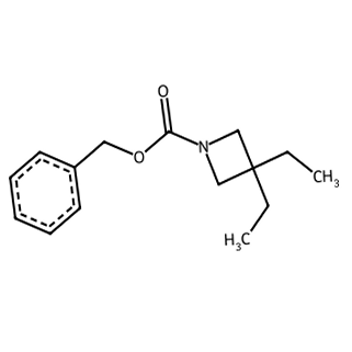 CCC1(CC)CN(C(=O)OCc2ccccc2)C1